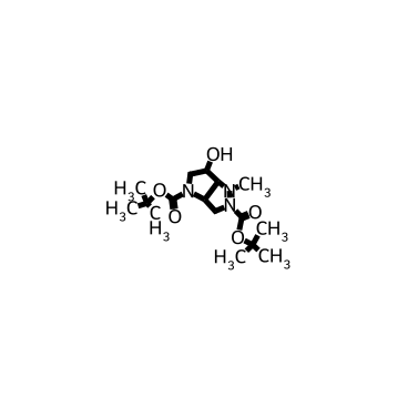 CN1C2C(O)CN(C(=O)OC(C)(C)C)C2CN1C(=O)OC(C)(C)C